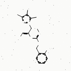 CC/C=C(/Cn1nc(C)c(Br)c1C)O/C(=N\C)SCc1ccccc1OC